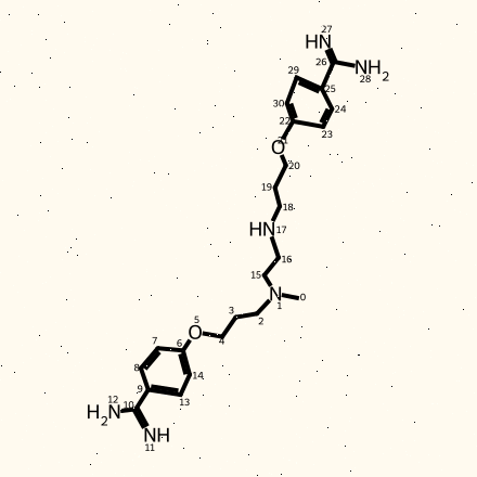 CN(CCCOc1ccc(C(=N)N)cc1)CCNCCCOc1ccc(C(=N)N)cc1